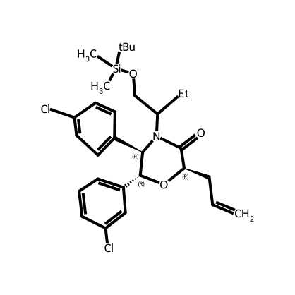 C=CC[C@H]1O[C@H](c2cccc(Cl)c2)[C@@H](c2ccc(Cl)cc2)N(C(CC)CO[Si](C)(C)C(C)(C)C)C1=O